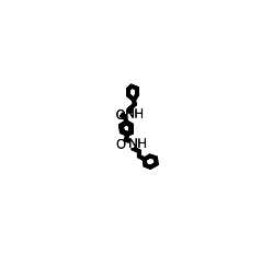 O=C(NCCCC1CCCCC1)c1ccc(C(=O)NCCC2CCCCC2)cc1